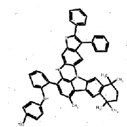 Cc1cc(-c2ccccc2Nc2ccc(C(C)(C)C)cc2)c2c3c1c1cc4c(cc1n3-c1cc3c(-c5ccccc5)c(-c5ccccc5)oc3cc1B2)C(C)(C)CCC4(C)C